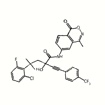 Cc1noc(=O)c2ccc(NC(=O)C(O)(C#Cc3ccc(C(F)(F)F)cc3)CC(C)(C)c3c(F)cccc3Cl)cc12